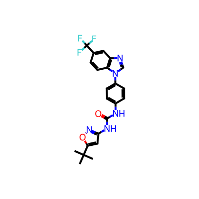 CC(C)(C)c1cc(NC(=O)Nc2ccc(-n3cnc4cc(C(F)(F)F)ccc43)cc2)no1